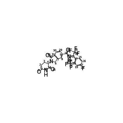 O=C1CCC(N2Cc3cc(C(=O)N[C@H](c4ccc(F)cc4C(F)(F)F)C(F)(F)F)ccc3C2=O)C(=O)N1